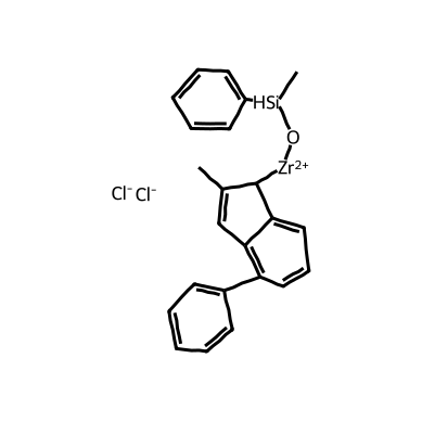 CC1=Cc2c(-c3ccccc3)cccc2[CH]1[Zr+2][O][SiH](C)c1ccccc1.[Cl-].[Cl-]